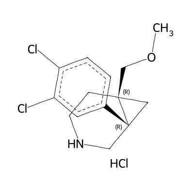 COC[C@]12CCNC[C@@]1(c1ccc(Cl)c(Cl)c1)C2.Cl